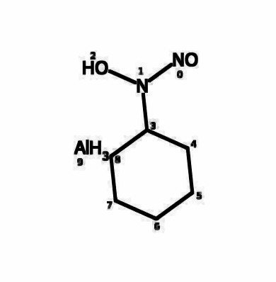 O=NN(O)C1CCCCC1.[AlH3]